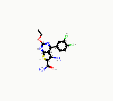 CCOc1nc(-c2ccc(Cl)c(Cl)c2)c2c(N)c(C(N)=O)sc2n1